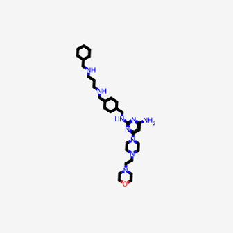 Nc1cc(N2CCN(CCN3CCOCC3)CC2)nc(NCC2CCC(CNCCCNCC3CCCCC3)CC2)n1